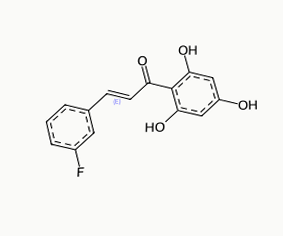 O=C(/C=C/c1cccc(F)c1)c1c(O)cc(O)cc1O